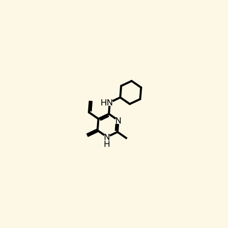 C=CC1=C(NC2CCCCC2)N=C(C)NC1=C